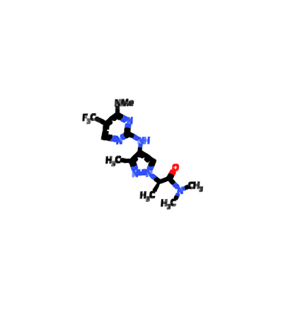 CNc1nc(Nc2cn([C@H](C)C(=O)N(C)C)nc2C)ncc1C(F)(F)F